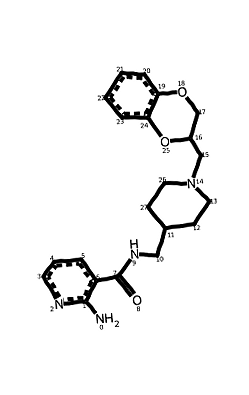 Nc1ncccc1C(=O)NCC1CCN(CC2COc3ccccc3O2)CC1